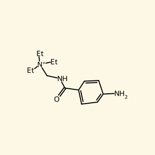 CC[N+](CC)(CC)CNC(=O)c1ccc(N)cc1